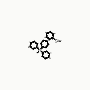 C[P+](c1ccccc1)(c1ccccc1)c1ccccc1.O=C([O-])c1ccccc1